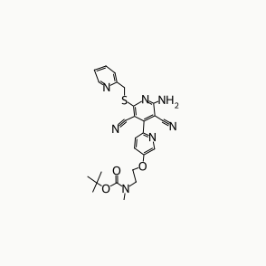 CN(CCOc1ccc(-c2c(C#N)c(N)nc(SCc3ccccn3)c2C#N)nc1)C(=O)OC(C)(C)C